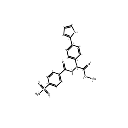 CC(C)(C)OC(=O)N(NC(=O)c1ccc(S(N)(=O)=O)cc1)c1ccc(-c2cccs2)cc1